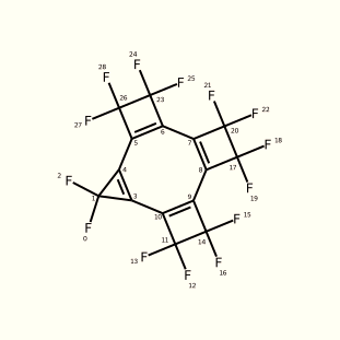 FC1(F)C2=C1C1=C(C3=C(C4=C2C(F)(F)C4(F)F)C(F)(F)C3(F)F)C(F)(F)C1(F)F